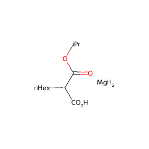 CCCCCCC(C(=O)O)C(=O)OC(C)C.[MgH2]